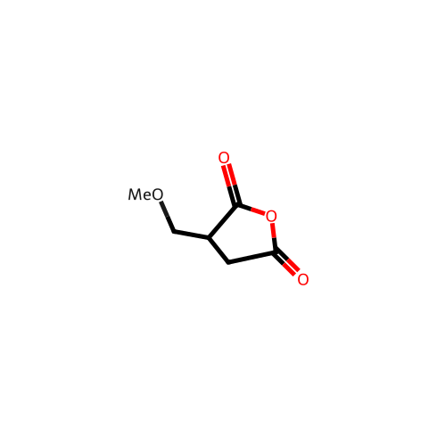 COCC1CC(=O)OC1=O